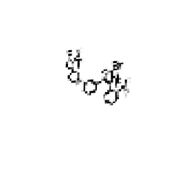 FC(F)(F)OC1CC[C@H](c2cccc(-c3sc(Br)nc3-c3ccccc3C(F)(F)F)c2)C1